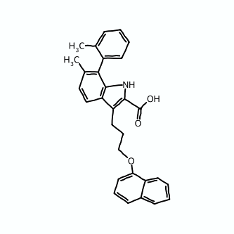 Cc1ccccc1-c1c(C)ccc2c(CCCOc3cccc4ccccc34)c(C(=O)O)[nH]c12